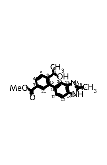 COC(=O)c1ccc(C(C)O)c(-c2ccc3[nH]c(C)nc3c2)c1